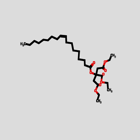 CCCCCCCC/C=C\CCCCCCCC(=O)OC(CC(=O)OCC)(CC(=O)OCC)C(=O)OCC